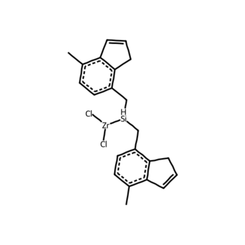 Cc1ccc(C[SiH](Cc2ccc(C)c3c2CC=C3)[Zr]([Cl])[Cl])c2c1C=CC2